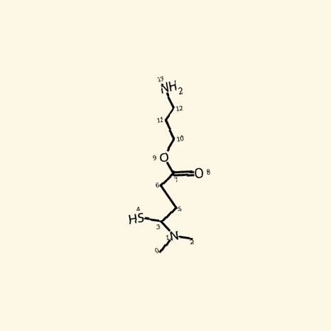 CN(C)C(S)CCC(=O)OCCCN